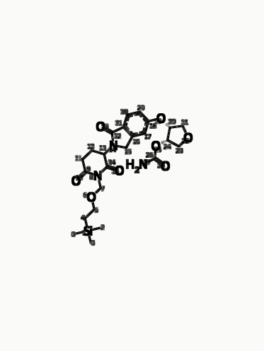 C[Si](C)(C)CCOCN1C(=O)CCC(N2Cc3cc(O[C@@H]4COC[C@@H]4OC(N)=O)ccc3C2=O)C1=O